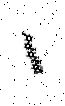 N#Cc1cccc(-c2ccnc(Nc3cccc(NC(=O)Nc4ccc(Cl)c(C(F)(F)F)c4)c3)n2)c1